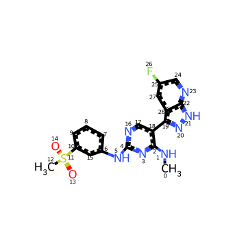 CNc1nc(Nc2cccc(S(C)(=O)=O)c2)ncc1-c1n[nH]c2ncc(F)cc12